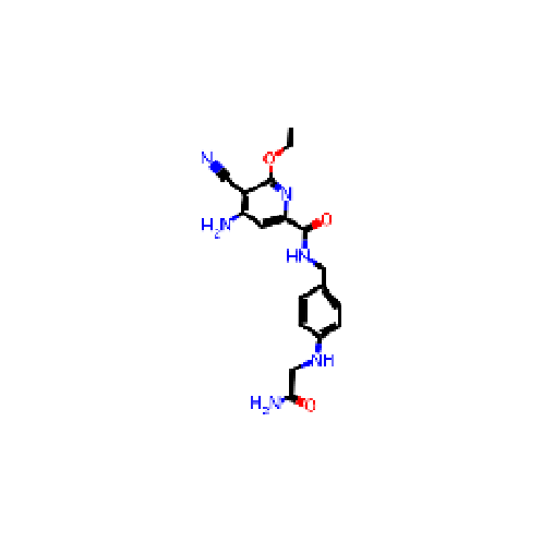 CCOc1nc(C(=O)NCc2ccc(NCC(N)=O)cc2)cc(N)c1C#N